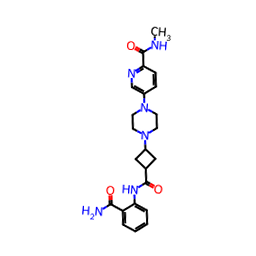 CNC(=O)c1ccc(N2CCN(C3CC(C(=O)Nc4ccccc4C(N)=O)C3)CC2)cn1